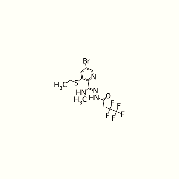 CCSc1cc(Br)cnc1/C(=N/NC(=O)CC(F)(F)C(F)(F)F)NC